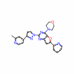 Cc1cc(-c2ccn(-c3nc(N4CCOCC4)c4oc(-c5ccccn5)cc4n3)n2)ccn1